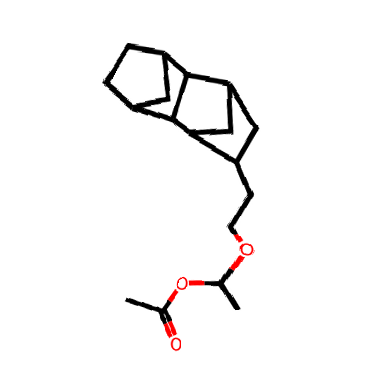 CC(=O)OC(C)OCCC1CC2CC1C1C3CCC(C3)C21